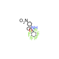 O=C(Nc1ccc([N+](=O)[O-])cc1C(F)(F)F)C1(F)C(F)(F)C(F)(F)C(F)(F)C(F)(F)C1(F)F